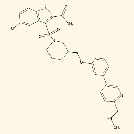 CNCc1ccc(-c2cccc(OC[C@@H]3CN(S(=O)(=O)c4c(C(N)=O)[nH]c5ccc(Cl)cc45)CCO3)c2)cn1